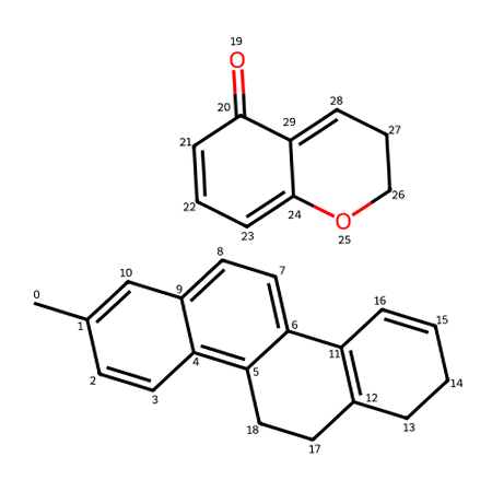 Cc1ccc2c3c(ccc2c1)C1=C(CCC=C1)CC3.O=C1C=CC=C2OCCC=C12